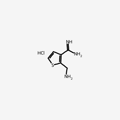 Cl.N=C(N)c1ccsc1CN